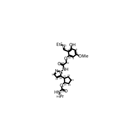 CC/N=C/c1c(O)cc(OC)cc1OCC(=O)Nn1nccc1C1CCCC1OC(=O)NC(C)C